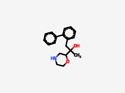 CC(O)(Cc1ccccc1-c1ccccc1)C1CNCCO1